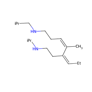 CC/C=C(CCNC(C)C)\C(C)=C/CCNCC(C)C